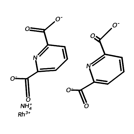 O=C([O-])c1cccc(C(=O)[O-])n1.O=C([O-])c1cccc(C(=O)[O-])n1.[NH4+].[Rh+3]